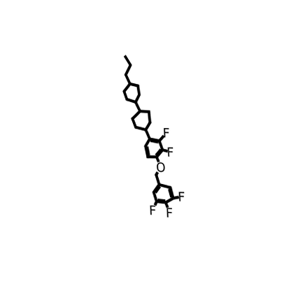 CCCC1CCC(C2CCC(c3ccc(OCc4cc(F)c(F)c(F)c4)c(F)c3F)CC2)CC1